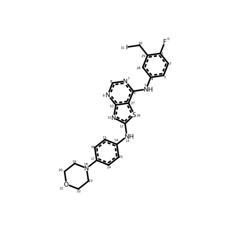 Fc1ccc(Nc2ncnc3nc(Nc4ccc(N5CCOCC5)cc4)sc23)cc1CI